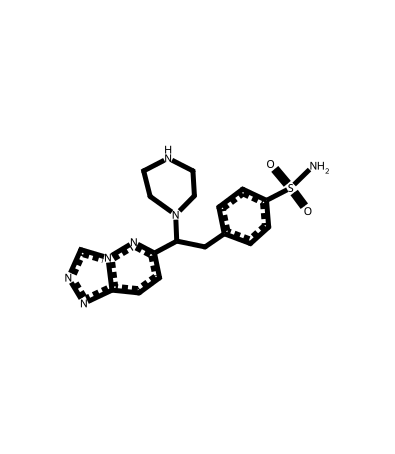 NS(=O)(=O)c1ccc(CC(c2ccc3nncn3n2)N2CCNCC2)cc1